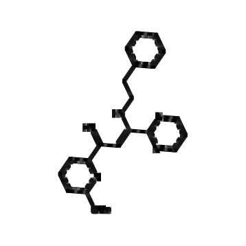 COc1cccc(C(=N)/C=C(\NCCc2ccccc2)c2ncccn2)n1